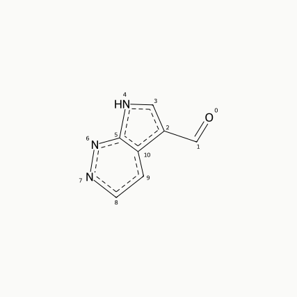 O=Cc1c[nH]c2nnccc12